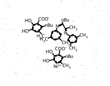 CCCCC(=Nc1cc(C)cc(C)c1)C(C)=Nc1cc(C)cc(C)c1.CCCCc1c(C)cc(O)c(O)c1C(=O)[O-].CCCCc1c(C)cc(O)c(O)c1C(=O)[O-].[Ni+2]